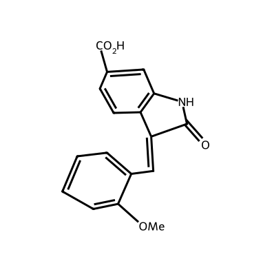 COc1ccccc1C=C1C(=O)Nc2cc(C(=O)O)ccc21